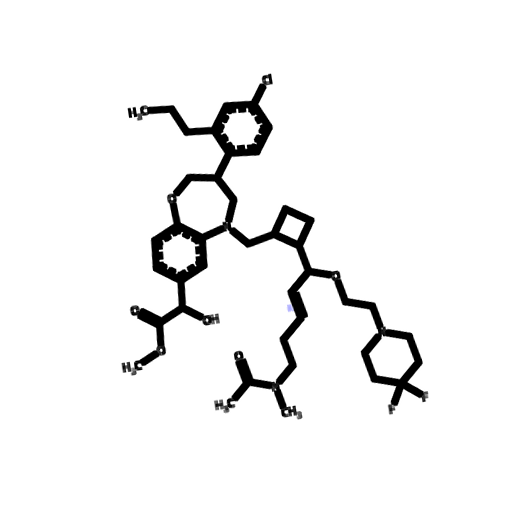 CCCc1cc(Cl)ccc1C1COc2ccc(C(O)C(=O)OC)cc2N(CC2CCC2C(/C=C/CCN(C)C(C)=O)OCCN2CCC(F)(F)CC2)C1